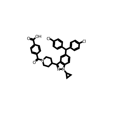 O=C(O)c1ccc(C(=O)N2CCC(c3nn(C4CC4)c4ccc(C(c5ccc(Cl)cc5)c5ccc(Cl)cc5)cc34)CC2)cc1